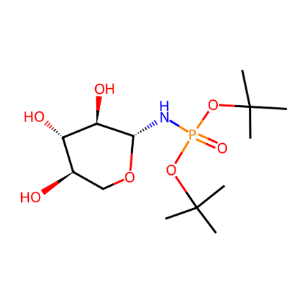 CC(C)(C)OP(=O)(N[C@@H]1OC[C@@H](O)[C@H](O)[C@H]1O)OC(C)(C)C